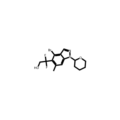 Cc1cc2c(cnn2C2CCCCO2)c(Br)c1C(F)(F)CO